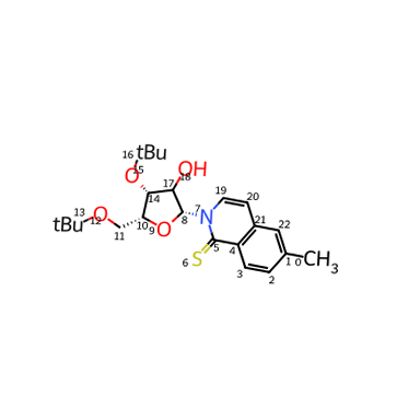 Cc1ccc2c(=S)n([C@@H]3O[C@H](COC(C)(C)C)[C@H](OC(C)(C)C)C3O)ccc2c1